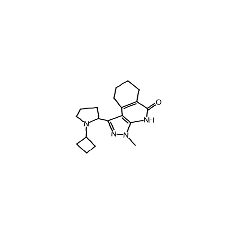 Cn1nc(C2CCCN2C2CCC2)c2c3c(c(=O)[nH]c21)CCCC3